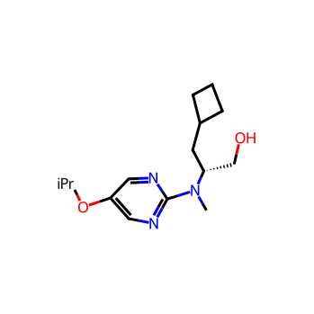 CC(C)Oc1cnc(N(C)[C@@H](CO)CC2CCC2)nc1